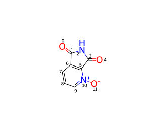 O=C1NC(=O)c2c1ccc[n+]2[O-]